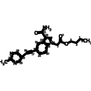 CCCCOC(=O)Cn1cc(C(N)=O)c2cc(C#Cc3cnc(C)nc3)ccc21